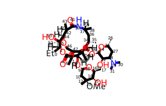 CC[C@H]1OC(=O)[C@H](C)[C@@H](O[C@H]2C[C@@](C)(OC)[C@@H](O)[C@H](C)O2)[C@H](C)[C@@H](O[C@@H]2O[C@H](C)C[C@H](N(C)C)[C@H]2O)[C@@]2(C)C[C@@H](C)NC(=O)[C@H](C)[C@@H](OCC(=O)CO2)[C@]1(C)O